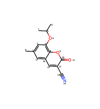 Cc1cc(OC(C)C)c2oc(=O)c(C#N)cc2c1